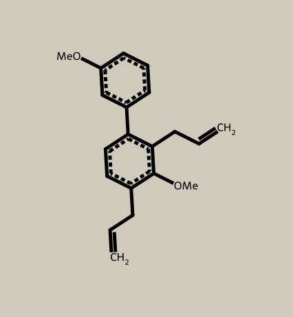 C=CCc1ccc(-c2cccc(OC)c2)c(CC=C)c1OC